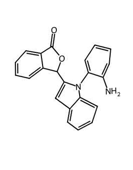 Nc1ccccc1-n1c(C2OC(=O)c3ccccc32)cc2ccccc21